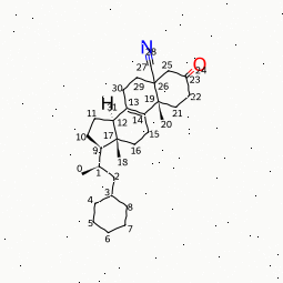 C[C@H](CC1CCCCC1)[C@H]1CC[C@H]2C3=C(CC[C@]12C)[C@@]1(C)CCC(=O)CC1(C#N)CC3